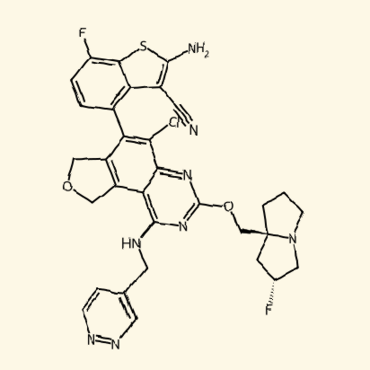 N#Cc1c(N)sc2c(F)ccc(-c3c4c(c5c(NCc6ccnnc6)nc(OC[C@@]67CCCN6C[C@H](F)C7)nc5c3Cl)COC4)c12